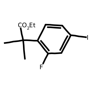 CCOC(=O)C(C)(C)c1ccc(I)cc1F